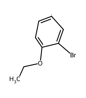 CCOc1cc[c]cc1Br